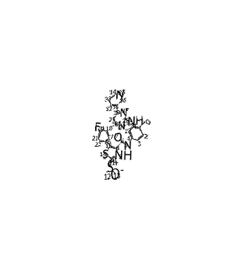 Cc1ccc(NC(=O)c2nc([S+](C)[O-])sc2-c2ccc(F)cc2)cc1Nc1nccc(-c2cccnc2)n1